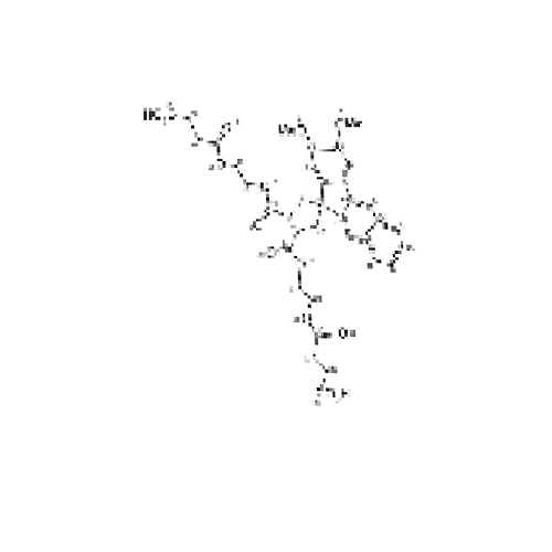 COc1cc2c(cc1OC)C(CCC(=O)OCCOC(=O)CCC(=O)O)(CCC(=O)OCCOC(=O)CCC(=O)O)c1cc3ccccc3cc1-2